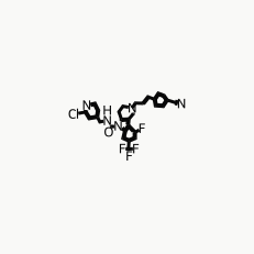 N#Cc1ccc(C=CCN2CCc3c(c4c(F)cc(C(F)(F)F)cc4n3C(=O)NCc3ccnc(Cl)c3)C2)cc1